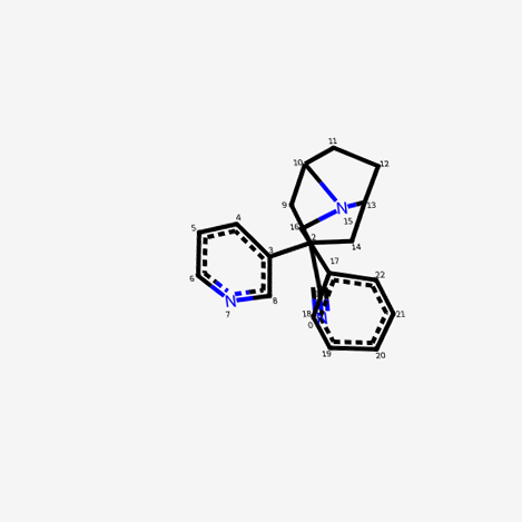 N#CC1(c2cccnc2)CC2CCC(C1)N2Cc1ccccc1